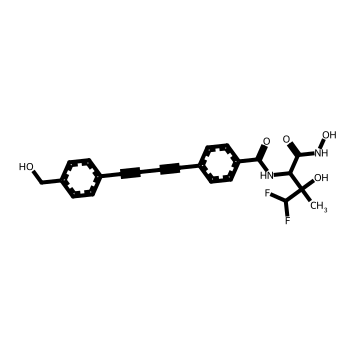 CC(O)(C(F)F)C(NC(=O)c1ccc(C#CC#Cc2ccc(CO)cc2)cc1)C(=O)NO